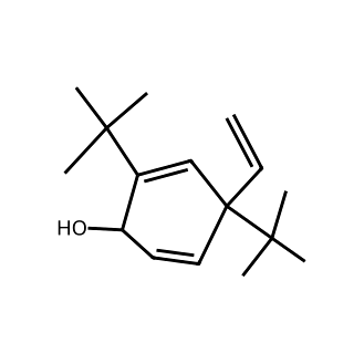 C=CC1(C(C)(C)C)C=CC(O)C(C(C)(C)C)=C1